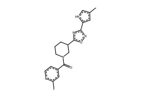 Cc1c[nH]c(-c2noc(C3CCCN(C(=O)c4ccnc(F)c4)C3)n2)c1